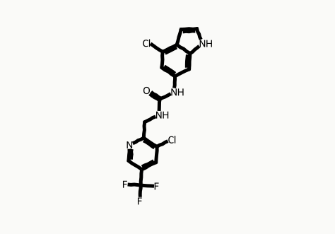 O=C(NCc1ncc(C(F)(F)F)cc1Cl)Nc1cc(Cl)c2cc[nH]c2c1